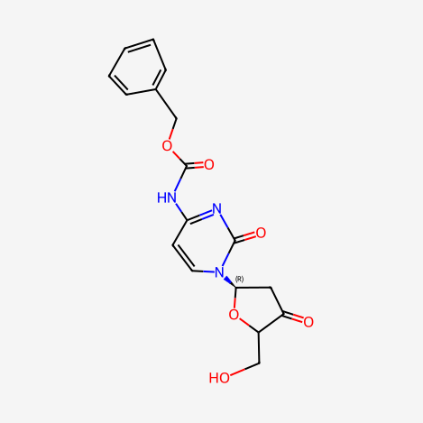 O=C(Nc1ccn([C@H]2CC(=O)C(CO)O2)c(=O)n1)OCc1ccccc1